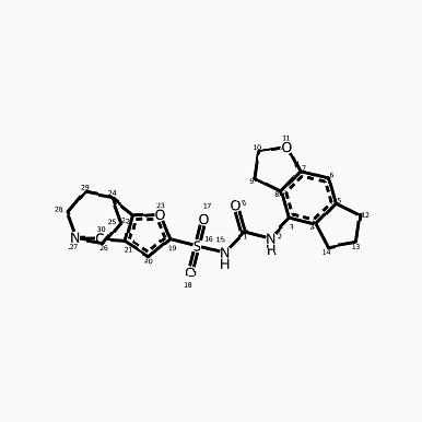 O=C(Nc1c2c(cc3c1CCO3)CCC2)NS(=O)(=O)c1cc2c(o1)C1CCN(CC1)C2